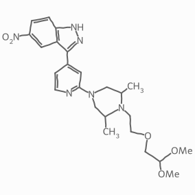 COC(COCCN1C(C)CN(c2cc(-c3n[nH]c4ccc([N+](=O)[O-])cc34)ccn2)CC1C)OC